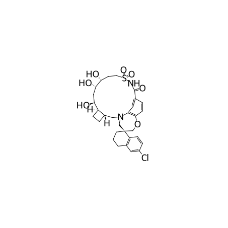 O=C1NS(=O)(=O)CC[C@@H](O)[C@@H](O)C[C@H](O)[C@@H]2CC[C@H]2CN2C[C@@]3(CCCc4cc(Cl)ccc43)COc3ccc1cc32